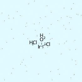 Cl.O.[Cl][Ir]